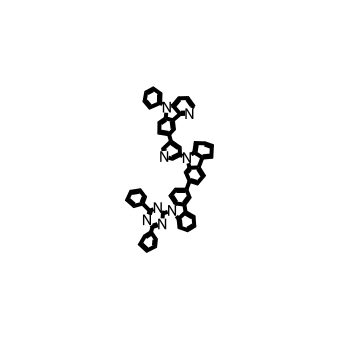 c1ccc(-c2nc(-c3ccccc3)nc(-n3c4ccccc4c4cc(-c5ccc6c7ccccc7n(-c7cncc(-c8ccc9c(c8)c8ncccc8n9-c8ccccc8)c7)c6c5)ccc43)n2)cc1